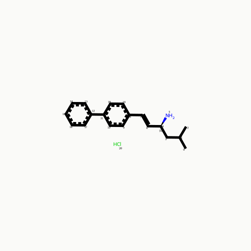 CC(C)C[C@H](N)C=Cc1ccc(-c2ccccc2)cc1.Cl